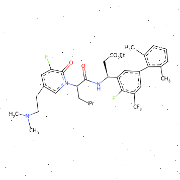 CCOC(=O)C[C@H](NC(=O)C(CC(C)C)n1cc(CCN(C)C)cc(F)c1=O)c1cc(-c2c(C)cccc2C)cc(C(F)(F)F)c1F